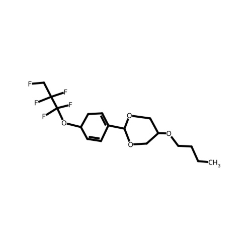 CCCCOC1COC(C2=CCC(OC(F)(F)C(F)(F)CF)C=C2)OC1